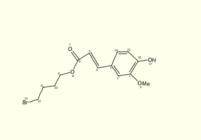 COc1cc(C=CC(=O)OCCCCBr)ccc1O